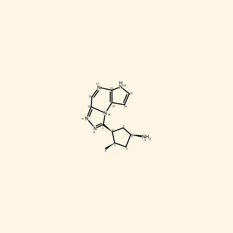 C[C@@H]1C[C@H](N)C[C@@H]1c1nnc2cnc3[nH]ccc3n12